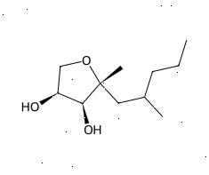 CCCC(C)C[C@@]1(C)OC[C@H](O)[C@@H]1O